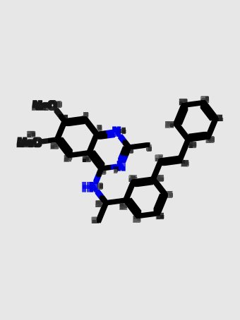 COc1cc2nc(C)nc(NC(C)c3cccc(/C=C/c4ccccc4)c3)c2cc1OC